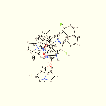 CC(C)[Si](C#Cc1c(F)ccc2cccc(-c3nc4c5c(nc(OC[C@@]67CCCN6C[C@H](F)C7)nc5c3F)N3C[C@H]5CC[C@@H]([C@H]3[C@@H](C)C4)N5C(=O)OC(C)(C)C)c12)(C(C)C)C(C)C